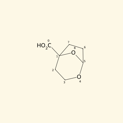 O=C(O)C12CCOC(CC1)O2